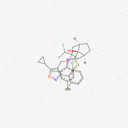 N#Cc1cc(F)c2nc([C@]3(O)[C@@H]4CC[C@H]3CC(OCc3c(-c5c(Cl)cccc5Cl)noc3C3CC3)(C(F)F)C4)sc2c1